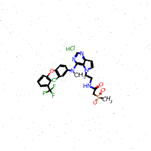 CN(c1ccc(Oc2cccc(C(F)(F)F)c2)c(Cl)c1)c1ncnc2ccn(CCNC(=O)CS(C)(=O)=O)c12.Cl